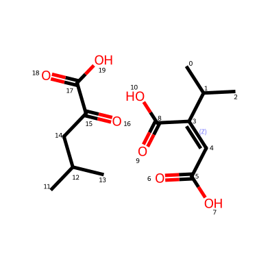 CC(C)/C(=C/C(=O)O)C(=O)O.CC(C)CC(=O)C(=O)O